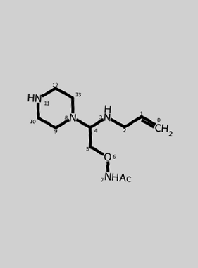 C=CCNC(CONC(C)=O)N1CCNCC1